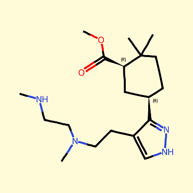 CNCCN(C)CCc1c[nH]nc1[C@@H]1CCC(C)(C)[C@H](C(=O)OC)C1